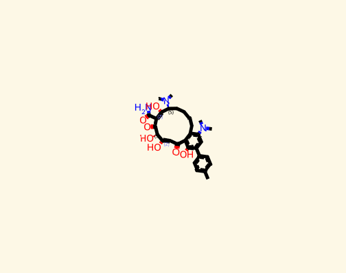 Cc1ccc(-c2cc(N(C)C)c3c(c2O)C(=O)/C=C(\O)[C@H](O)C(=O)/C(C(N)=O)=C(/O)[C@@H](N(C)C)CCCC3)cc1